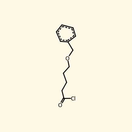 O=C(Cl)CCCCOCc1ccccc1